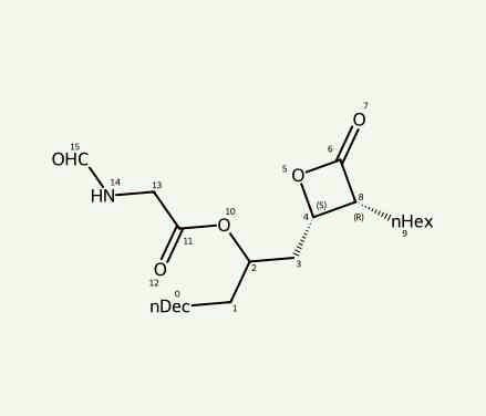 CCCCCCCCCCCC(C[C@@H]1OC(=O)[C@@H]1CCCCCC)OC(=O)CNC=O